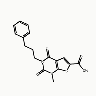 Cn1c(=O)n(CCCc2ccccc2)c(=O)c2cc(C(=O)O)sc21